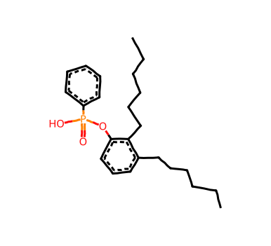 CCCCCCc1cccc(OP(=O)(O)c2ccccc2)c1CCCCCC